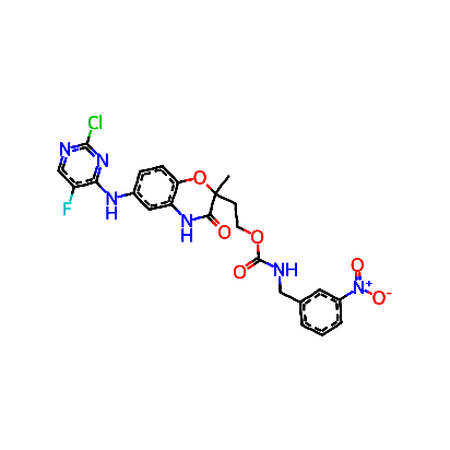 CC1(CCOC(=O)NCc2cccc([N+](=O)[O-])c2)Oc2ccc(Nc3nc(Cl)ncc3F)cc2NC1=O